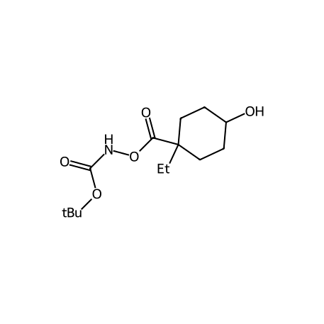 CCC1(C(=O)ONC(=O)OC(C)(C)C)CCC(O)CC1